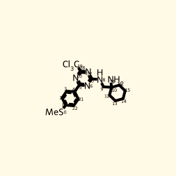 CSc1ccc(-c2nc(NCC3(N)CCCCC3)nc(C(Cl)(Cl)Cl)n2)cc1